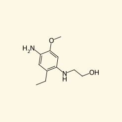 CCc1cc(N)c(OC)cc1NCCO